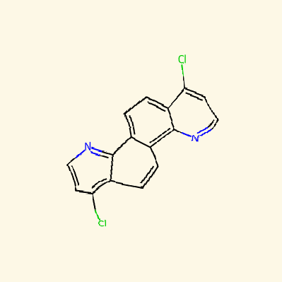 Clc1ccnc2c1ccc1c2ccc2c(Cl)ccnc21